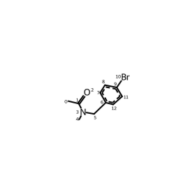 CC(=O)N(C)Cc1ccc(Br)cc1